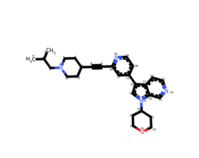 CC(C)CN1CCC(C#Cc2cc(-c3cn(C4CCOCC4)c4cnccc34)ccn2)CC1